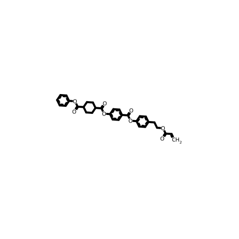 C=CC(=O)OCCc1ccc(OC(=O)c2ccc(OC(=O)C3CCC(C(=O)Oc4ccccc4)CC3)cc2)cc1